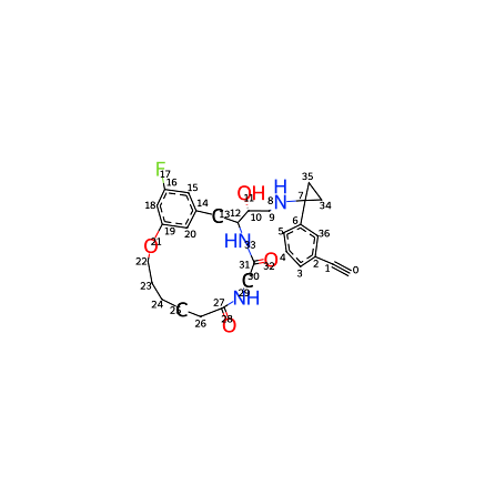 C#Cc1cccc(C2(NC[C@@H](O)C3Cc4cc(F)cc(c4)OCCCCCC(=O)NCC(=O)N3)CC2)c1